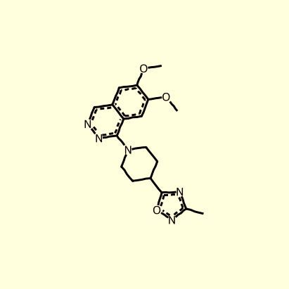 COc1cc2cnnc(N3CCC(c4nc(C)no4)CC3)c2cc1OC